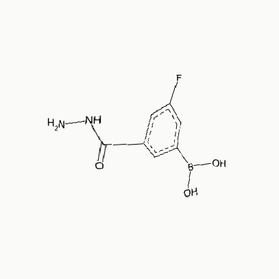 NNC(=O)c1cc(F)cc(B(O)O)c1